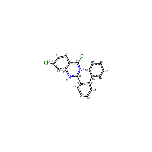 Clc1ccc2c(Cl)nc(-c3ccccc3-c3ccccc3)nc2c1